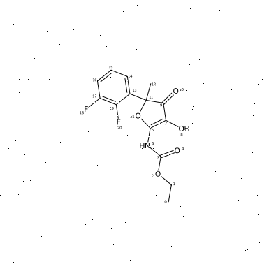 CCOC(=O)NC1=C(O)C(=O)C(C)(c2cccc(F)c2F)O1